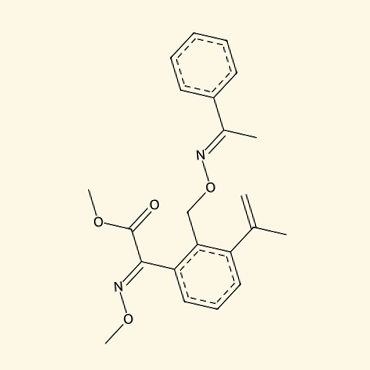 C=C(C)c1cccc(/C(=N\OC)C(=O)OC)c1CO/N=C(\C)c1ccccc1